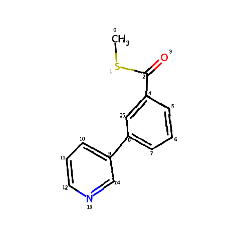 CSC(=O)c1cccc(-c2cccnc2)c1